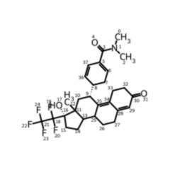 CN(C)C(=O)C1=CCC([C@H]2CC3(C)C(CC[C@@]3(O)C(F)(F)C(F)(F)F)C3CCC4=CC(=O)CCC4=C32)C=C1